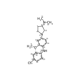 COc1nc(N2CCC(N(C)C)C2)ccc1Nc1ncc(Cl)cn1